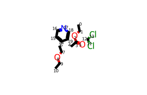 CCOC(C)=O.CCOCC.ClCCl.c1ccncc1